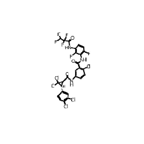 O=C(Nc1c(F)ccc(NC(=O)C(F)(F)C(F)F)c1F)c1cc(NC(=O)C2[C@H](c3ccc(Cl)c(Cl)c3)C2(Cl)Cl)ccc1Cl